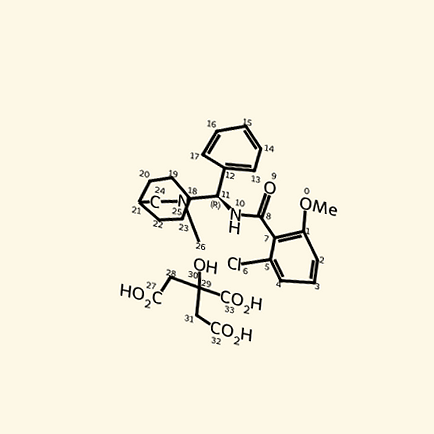 COc1cccc(Cl)c1C(=O)N[C@H](c1ccccc1)C12CCC(CC1)CN2C.O=C(O)CC(O)(CC(=O)O)C(=O)O